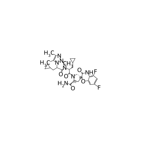 Cc1nnn(C(CC2CC2)C(=O)N(C)C(CC2CC2)C(=O)N2C[C@@]3(C[C@H]2C(N)=O)Oc2cc(F)cc(F)c2NC3=O)c1C